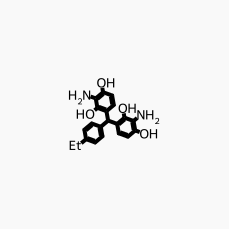 CCc1ccc(C(c2ccc(O)c(N)c2O)c2ccc(O)c(N)c2O)cc1